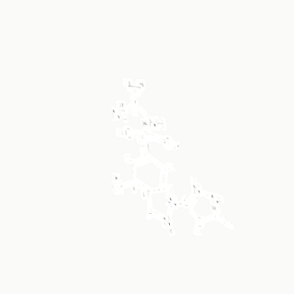 Cc1nnc(-n2ncc3c(Cl)cc(S(=O)(=O)NC4(C#N)CC4)cc32)s1